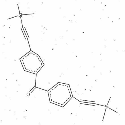 C[Si](C)(C)C#Cc1ccc(C(=O)c2ccc(C#C[Si](C)(C)C)cc2)cc1